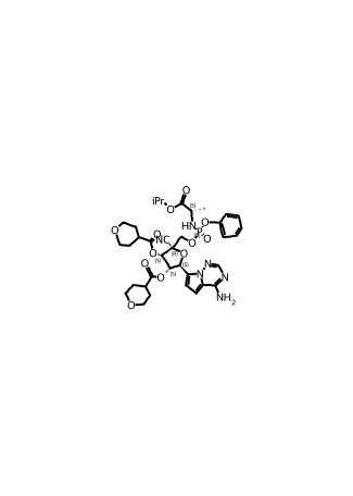 CC(C)OC(=O)[C@H](C)N[P@](=O)(OC[C@@]1(C#N)O[C@@H](c2ccc3c(N)ncnn23)[C@H](OC(=O)C2CCOCC2)[C@@H]1OC(=O)C1CCOCC1)Oc1ccccc1